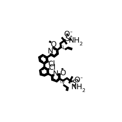 C=CC[C@@H](CC(C)(C)[S+](N)[O-])c1ccc(-c2cccc(-c3cccc(-c4ccc([C@@H](CC=C)CC(C)(C)[S+](N)[O-])c(OC)n4)c3Cl)c2Cl)nc1OC